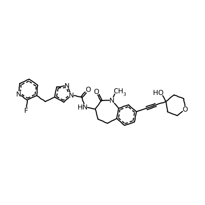 CN1C(=O)C(NC(=O)n2cc(Cc3cccnc3F)cn2)CCc2ccc(C#CC3(O)CCOCC3)cc21